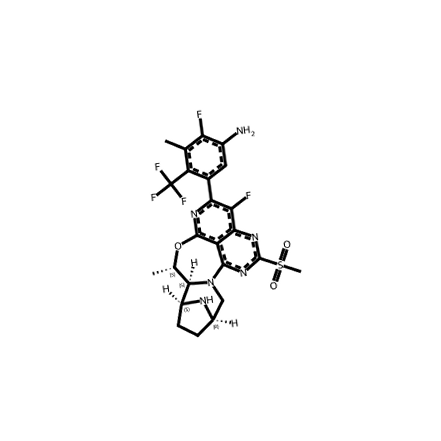 Cc1c(F)c(N)cc(-c2nc3c4c(nc(S(C)(=O)=O)nc4c2F)N2C[C@H]4CC[C@H](N4)[C@H]2[C@H](C)O3)c1C(F)(F)F